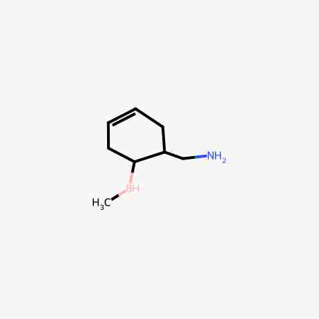 CBC1CC=CCC1CN